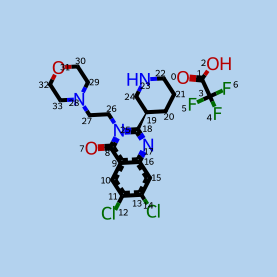 O=C(O)C(F)(F)F.O=c1c2cc(Cl)c(Cl)cc2nc([C@@H]2CCCNC2)n1CCN1CCOCC1